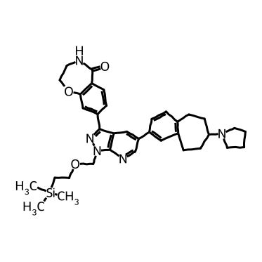 C[Si](C)(C)CCOCn1nc(-c2ccc3c(c2)OCCNC3=O)c2cc(-c3ccc4c(c3)CCC(N3CCCC3)CC4)cnc21